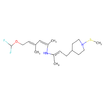 CSN1CCC(C/C=C(\C)N/C(C)=C\C(C)=C\COC(F)F)CC1